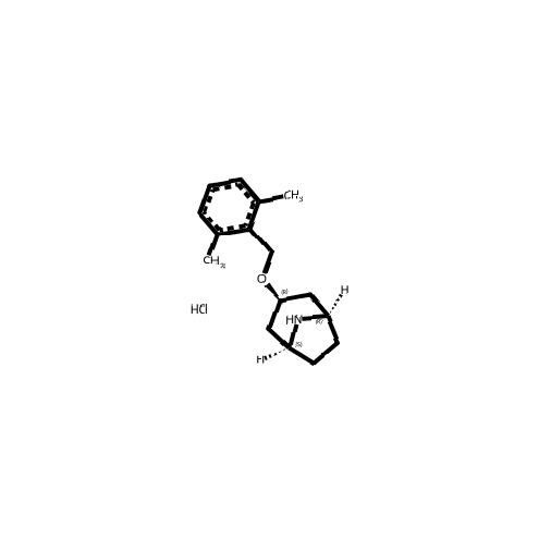 Cc1cccc(C)c1CO[C@H]1C[C@H]2CC[C@@H](C1)N2.Cl